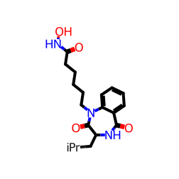 CC(C)CC1NC(=O)c2ccccc2N(CCCCCC(=O)NO)C1=O